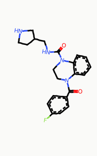 O=C(NCC1CCNC1)N1CCN(C(=O)c2ccc(F)cc2)c2ccccc21